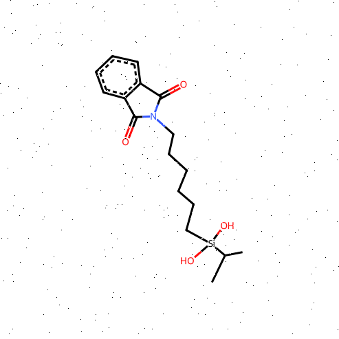 CC(C)[Si](O)(O)CCCCCCN1C(=O)c2ccccc2C1=O